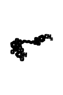 Cc1ccc(S(=O)(=O)OCCCCCCCS(=O)(=O)c2cccc3c2C(=O)N(C2CCC(=O)NC2=O)C3=O)cc1